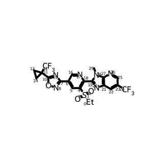 CCS(=O)(=O)c1cc(-c2noc(C3(C(F)(F)F)CC3)n2)cnc1-c1nc2cc(C(F)(F)F)cnc2n1C